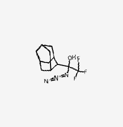 [N-]=[N+]=NC(O)(C1C2CC3CC(C2)CC1C3)C(F)(F)F